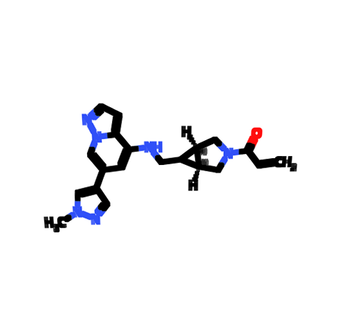 C=CC(=O)N1C[C@@H]2C(CNc3cc(-c4cnn(C)c4)cn4nccc34)[C@@H]2C1